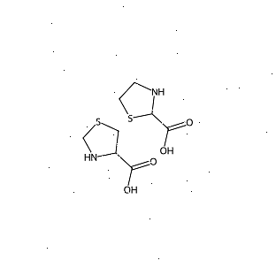 O=C(O)C1CSCN1.O=C(O)C1NCCS1